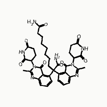 Cc1nc2cccc(C(CCCCCCCC(N)=O)(C(N)=O)c3cccc4nc(C)n(C5CCC(=O)NC5=O)c(=O)c34)c2c(=O)n1C1CCC(=O)NC1=O